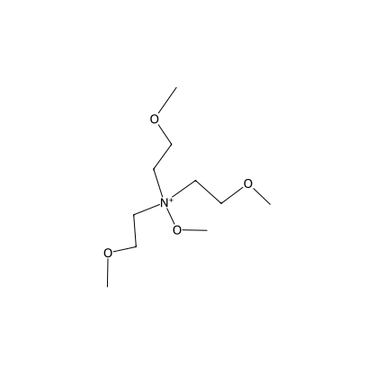 COCC[N+](CCOC)(CCOC)OC